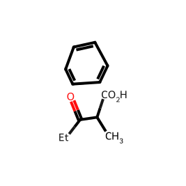 CCC(=O)C(C)C(=O)O.c1ccccc1